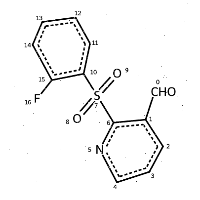 O=Cc1cccnc1S(=O)(=O)c1ccccc1F